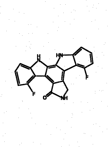 O=C1NCc2c1c1c([nH]c3cccc(F)c31)c1[nH]c3cccc(F)c3c21